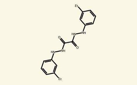 CCc1cccc(NNC(=O)C(=O)NNc2cccc(CC)c2)c1